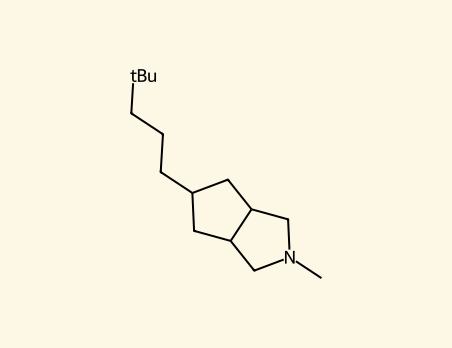 CN1CC2CC(CCCC(C)(C)C)CC2C1